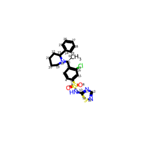 C[C@H](c1ccc(S(=O)(=O)Nc2ncns2)cc1Cl)N1CCCCC1c1ccccc1